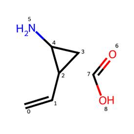 C=CC1CC1N.O=CO